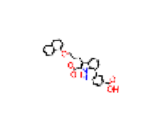 O=C(O)c1cccc(-c2cccc3c(CCCOc4cccc5ccccc45)c(C(=O)O)[nH]c23)c1